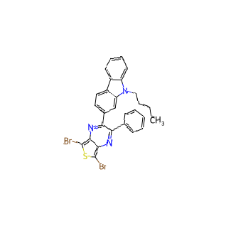 CCCCn1c2ccccc2c2ccc(-c3nc4c(Br)sc(Br)c4nc3-c3ccccc3)cc21